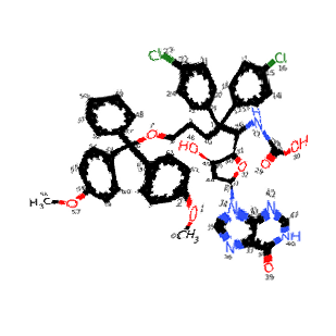 COc1ccc(C(OCCCC(c2ccc(Cl)cc2)(c2ccc(Cl)cc2)C(NC(=O)O)[C@H]2O[C@@H](n3cnc4c(=O)[nH]cnc43)C[C@H]2O)(c2ccccc2)c2ccc(OC)cc2)cc1